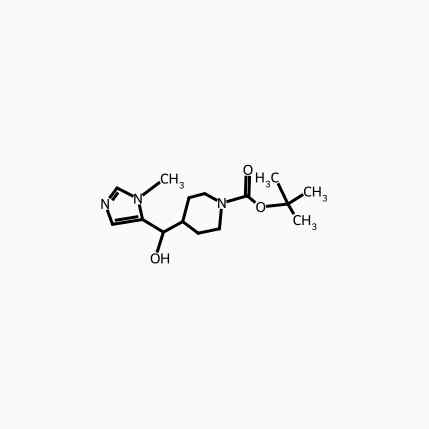 Cn1cncc1C(O)C1CCN(C(=O)OC(C)(C)C)CC1